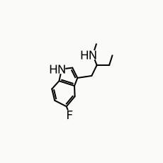 CCC(Cc1c[nH]c2ccc(F)cc12)NC